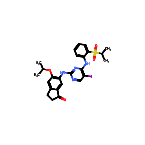 CC(C)Oc1cc2c(cc1Nc1ncc(I)c(Nc3ccccc3S(=O)(=O)C(C)C)n1)C(=O)CC2